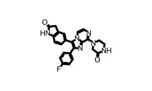 O=C1CN(c2nccn3c(-c4ccc5c(c4)CC(=O)N5)c(-c4ccc(F)cc4)nc23)CCN1